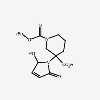 CC(C)(C)OC(=O)N1CCCC(C(=O)O)(N2C(=O)C=CC2O)C1